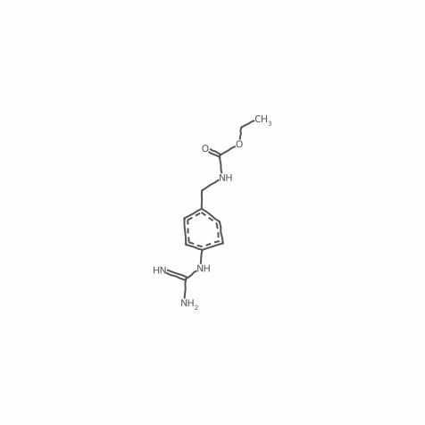 CCOC(=O)NCc1ccc(NC(=N)N)cc1